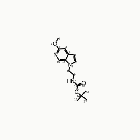 COc1cc2ccn(CCNC(=O)OC(C)(C)C)c2cn1